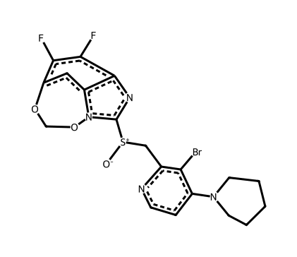 [O-][S+](Cc1nccc(N2CCCCC2)c1Br)c1nc2c(F)c(F)c3cc2n1OCO3